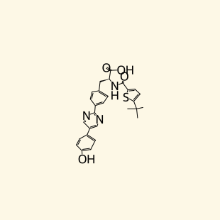 CC(C)(C)c1ccc(C(=O)N[C@@H](Cc2ccc(-c3ncc(-c4ccc(O)cc4)cn3)cc2)C(=O)O)s1